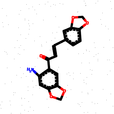 Nc1cc2c(cc1C(=O)C=Cc1ccc3c(c1)OCO3)OCO2